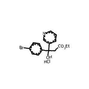 CCOC(=O)CC(O)(c1ccc(Br)cc1)c1cccnc1.Cl